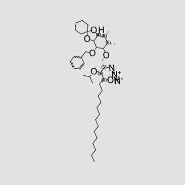 CCCCCCCCCCCCCC[C@@H](O)[C@@H](OC(C)C)[C@H](COC1C(OCc2ccccc2)C2OC3(CCCCC3)O[C@@H]2[C@H](C)[C@@H]1C)N=[N+]=[N-]